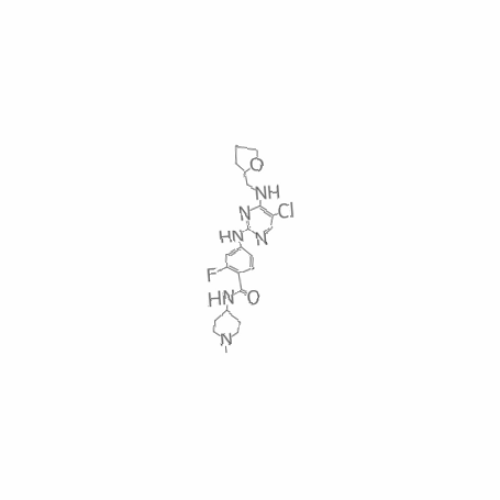 CN1CCC(NC(=O)c2ccc(Nc3ncc(Cl)c(NCC4CCCO4)n3)cc2F)CC1